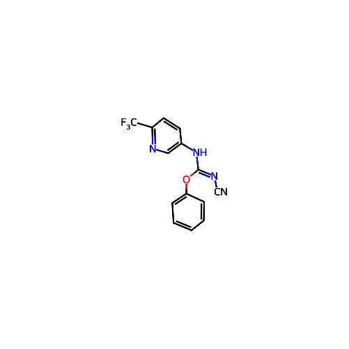 N#C/N=C(/Nc1ccc(C(F)(F)F)nc1)Oc1ccccc1